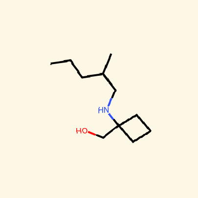 CCCC(C)CNC1(CO)CCC1